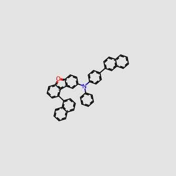 c1ccc(N(c2ccc(-c3ccc4ccccc4c3)cc2)c2ccc3oc4cccc(-c5cccc6ccccc56)c4c3c2)cc1